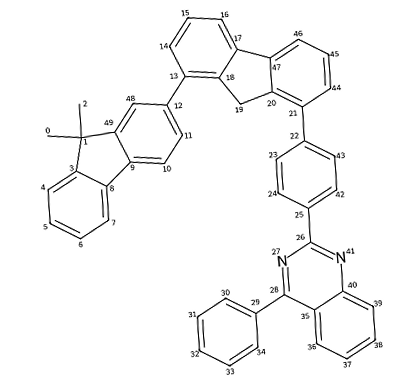 CC1(C)c2ccccc2-c2ccc(-c3cccc4c3Cc3c(-c5ccc(-c6nc(-c7ccccc7)c7ccccc7n6)cc5)cccc3-4)cc21